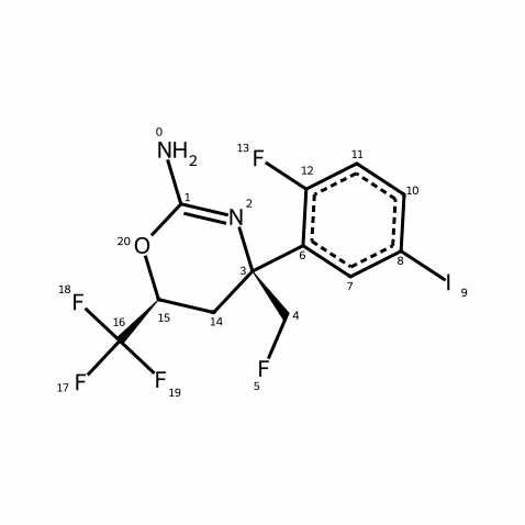 NC1=N[C@](CF)(c2cc(I)ccc2F)C[C@@H](C(F)(F)F)O1